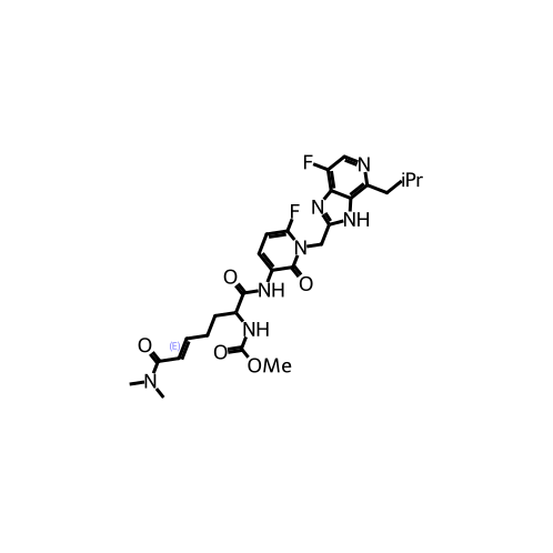 COC(=O)NC(CC/C=C/C(=O)N(C)C)C(=O)Nc1ccc(F)n(Cc2nc3c(F)cnc(CC(C)C)c3[nH]2)c1=O